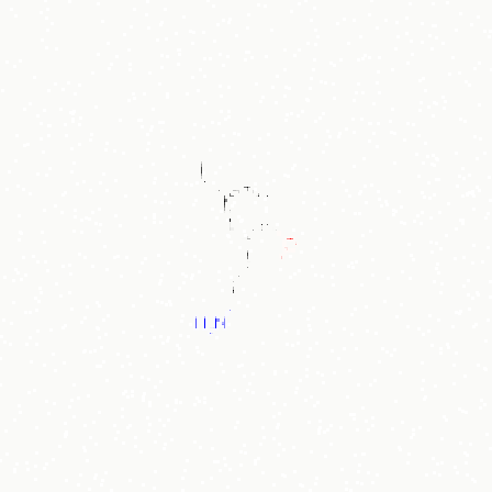 CCc1ccc2c(c1)C(CCN)CO2